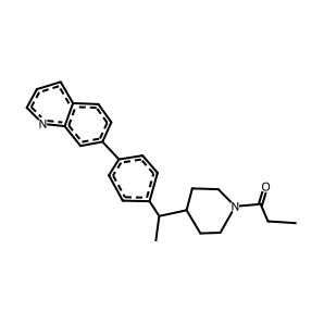 CCC(=O)N1CCC(C(C)c2ccc(-c3ccc4cccnc4c3)cc2)CC1